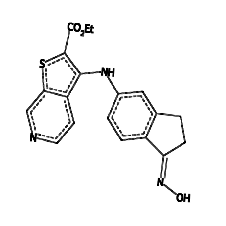 CCOC(=O)c1sc2cnccc2c1Nc1ccc2c(c1)CC/C2=N\O